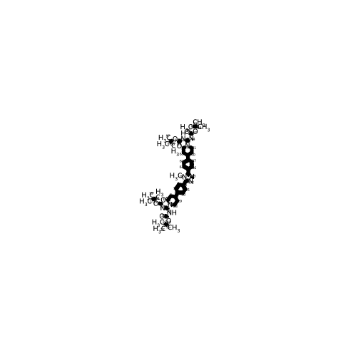 Cn1c(-c2ccc(C3CCN(/C(=N\C(=O)OC(C)(C)C)NC(=O)OC(C)(C)C)CC3)cc2)nnc1-c1ccc(C2CCN(/C(=N/C(=O)OC(C)(C)C)NC(=O)OC(C)(C)C)CC2)cc1